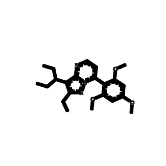 CCc1nn2c(-c3c(OC)cc(OC)cc3OC)ccnc2c1C(CC)CC